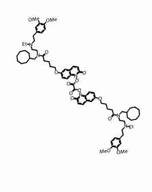 CCN(CCc1ccc(OC)c(OC)c1)CCN(CC1CCCCCCC1)C(=O)CCCCOc1ccc2c(ccc(=O)n2OC(=O)C(=O)On2c(=O)ccc3cc(OCCCCC(=O)N(CCN(CC)CCc4ccc(OC)c(OC)c4)CC4CCCCCCC4)ccc32)c1